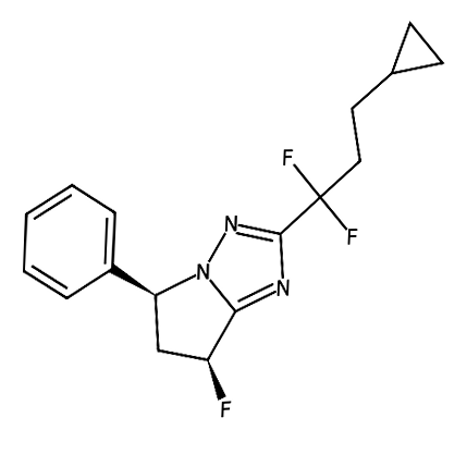 F[C@H]1C[C@@H](c2ccccc2)n2nc(C(F)(F)CCC3CC3)nc21